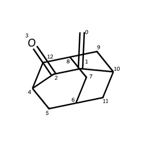 C=C1C(=O)C2CC3CC(CC1C3)C2